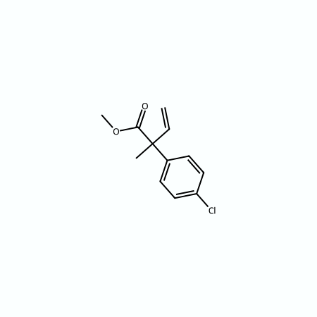 C=CC(C)(C(=O)OC)c1ccc(Cl)cc1